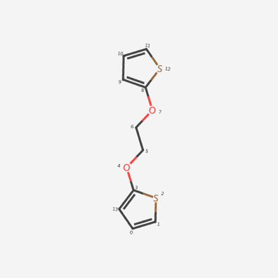 c1csc(OCCOc2cccs2)c1